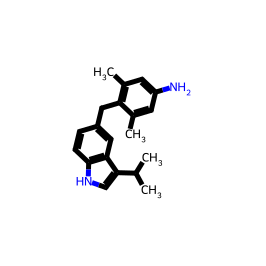 Cc1cc(N)cc(C)c1Cc1ccc2[nH]cc(C(C)C)c2c1